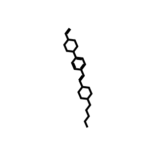 C=CC1CCC(c2ccc(/C=C/C3CCC(CCCCC)CC3)cc2)CC1